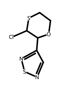 ClC1SCCOC1c1cnsn1